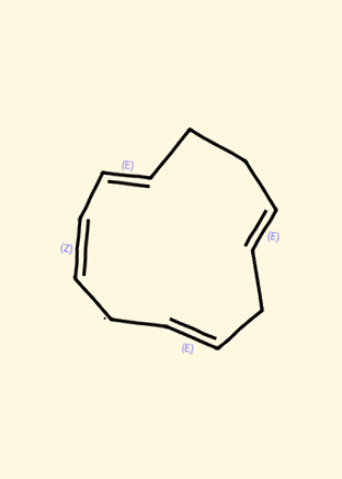 [CH]1/C=C\C=C\CC/C=C/C/C=C/1